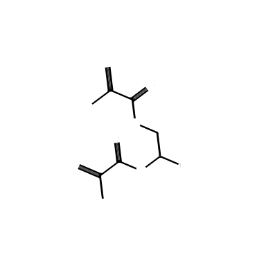 C=C(C)C(=O)OCC(CC)OC(=O)C(=C)C